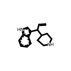 C=CC(c1c[nH]c2ccccc12)C1CCNCC1